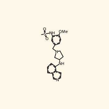 COc1ccc(CN2CC[C@@H](Nc3cccc4cnccc34)C2)cc1NS(C)(=O)=O